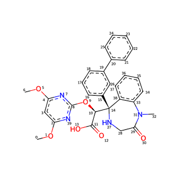 COc1cc(OC)nc(O[C@H](C(=O)O)[C@@]2(c3cccc(-c4ccccc4)c3)NCC(=O)N(C)c3ccccc32)n1